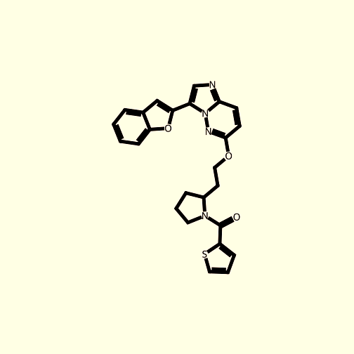 O=C(c1cccs1)N1CCCC1CCOc1ccc2ncc(-c3cc4ccccc4o3)n2n1